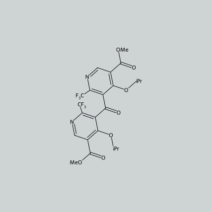 COC(=O)c1cnc(C(F)(F)F)c(C(=O)c2c(C(F)(F)F)ncc(C(=O)OC)c2OC(C)C)c1OC(C)C